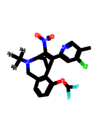 [2H]C([2H])([2H])N1Cc2cccc(OC(F)F)c2C2CC1C([N+](=O)[O-])=C2c1cc(Cl)c(C)cn1